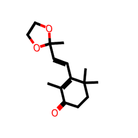 CC1=C(/C=C/C2(C)OCCO2)C(C)(C)CCC1=O